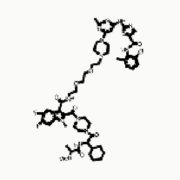 CNC(C)C(=O)NC(C(=O)N1CCN(C(=O)c2c(C(=O)NCCOCCOCCN3CCN(c4cc(Nc5ncc(C(=O)Nc6c(C)cccc6Cl)s5)nc(C)n4)CC3)c3cc(F)c(F)cc3n2C)CC1)C1CCCCC1